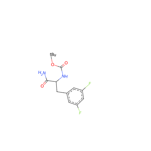 CC(C)(C)OC(=O)NC(Cc1cc(F)cc(F)c1)C(N)=O